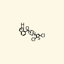 O=C(c1cccc2cc[nH]c12)N1CCN(c2cc(Cl)sc2Cl)CC1